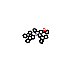 c1ccc(N(c2ccc3c(c2)C2(c4ccccc4-c4ccccc42)c2ccccc2-3)c2ccc3c4ccccc4c4ccccc4c3c2)c(-c2ccc3c(c2)oc2ccccc23)c1